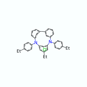 CCc1ccc(N2c3cccc(c3)-c3cccc(c3)N(c3ccc(CC)cc3)c3cc(CC)cc2c3Cl)cc1